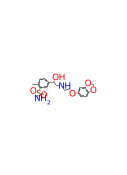 Cc1ccc(C(O)CNCCOc2ccc3c(c2)OCO3)cc1S(N)(=O)=O